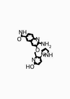 NC(=O)c1ccc2nc(N)c(OCc3nc(O)ccc3N3C=CCN3)cc2c1